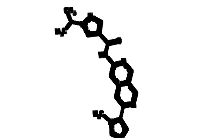 CC(C)n1cc(C(=O)Nc2cc3cc(-c4cncn4C)ncc3cn2)cn1